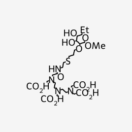 CCC1O[C@H](OC)C(OCCCSCCNC(=O)CN(CCN(CCN(CC(=O)O)CC(=O)O)CC(=O)O)CC(=O)O)[C@@H](O)[C@@H]1O